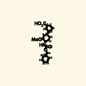 CO[C@H]1CN(c2cccc(C(=O)O)c2)CC[C@H]1NC(=O)OCc1ccccc1